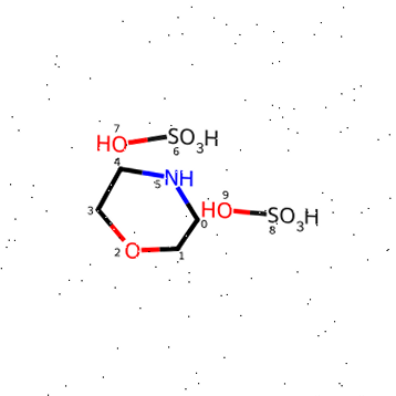 C1COCCN1.O=S(=O)(O)O.O=S(=O)(O)O